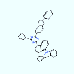 c1ccc(-c2ccc3cc(-c4nc(-c5ccccc5)nc(-c5cccc6c(-n7c8ccccc8c8ccccc87)cccc56)n4)ccc3c2)cc1